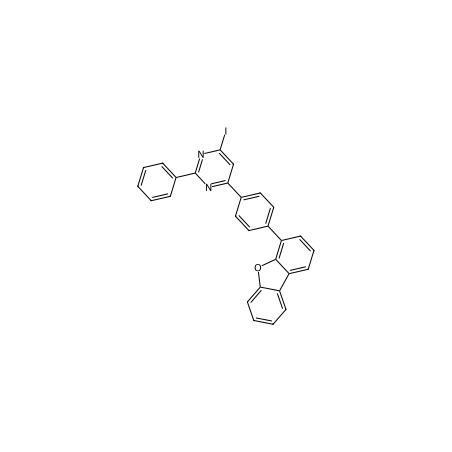 Ic1cc(-c2ccc(-c3cccc4c3oc3ccccc34)cc2)nc(-c2ccccc2)n1